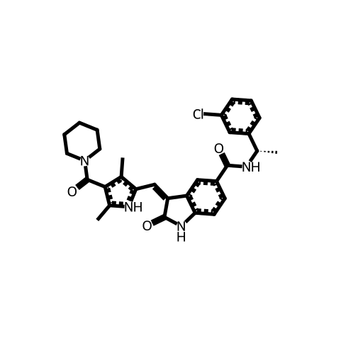 Cc1[nH]c(/C=C2\C(=O)Nc3ccc(C(=O)N[C@@H](C)c4cccc(Cl)c4)cc32)c(C)c1C(=O)N1CCCCC1